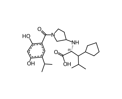 CC(C)c1cc(C(=O)N2CCC(N[C@@H](C(=O)O)C(C(C)C)C3CCCC3)C2)c(O)cc1O